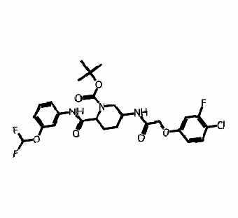 CC(C)(C)OC(=O)N1CC(NC(=O)COc2ccc(Cl)c(F)c2)CCC1C(=O)Nc1cccc(OC(F)F)c1